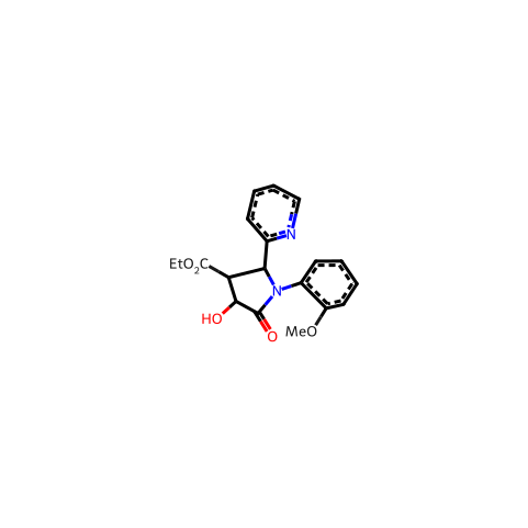 CCOC(=O)C1C(O)C(=O)N(c2ccccc2OC)C1c1ccccn1